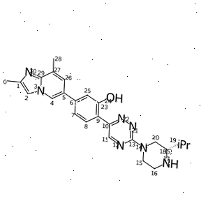 Cc1cn2cc(-c3ccc(-c4cnc(N5CCN[C@@H](C(C)C)C5)nn4)c(O)c3)cc(C)c2n1